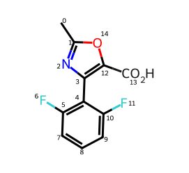 Cc1nc(-c2c(F)cccc2F)c(C(=O)O)o1